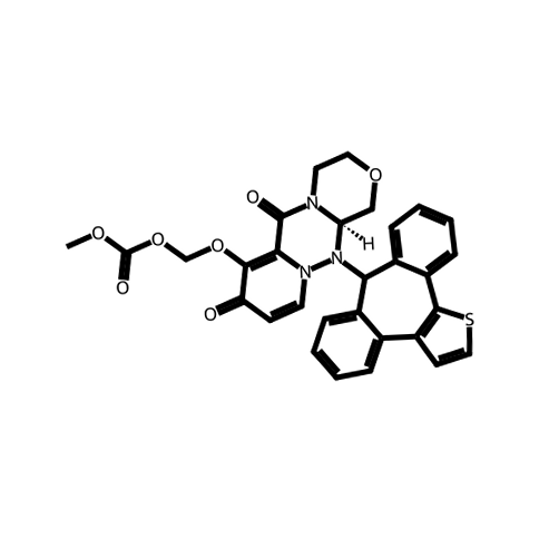 COC(=O)OCOc1c2n(ccc1=O)N(C1c3ccccc3-c3ccsc3-c3ccccc31)[C@@H]1COCCN1C2=O